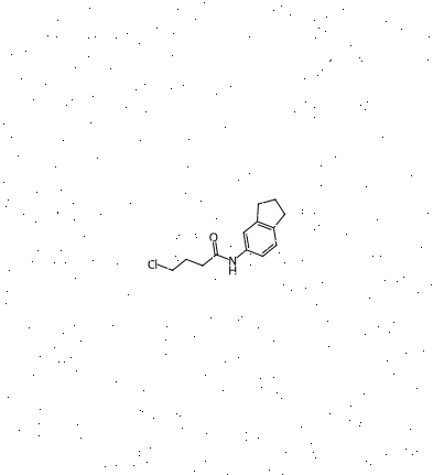 O=C(CCCCl)Nc1ccc2c(c1)CCC2